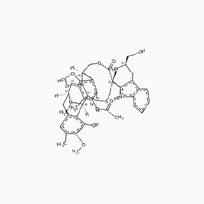 COc1c(C)cc2c(c1O)[C@@H]1[C@@H]3[C@@H]4SC[C@]5(N[C@@H](CO)Cc6c5[nH]c5ccccc65)C(=O)OC[C@@H](c5c6c(c(C)c(OC(C)=O)c54)OCO6)N3[C@@H](O)[C@H](C2)N1C